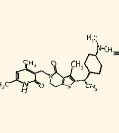 Cc1cc(C)c(CN2CCc3sc([C@H](C)C4CCC(N(C)C)CC4)c(C)c3C2=O)c(=O)[nH]1